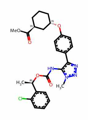 COC(=O)[C@H]1CCC[C@H](Oc2ccc(-c3nnn(C)c3NC(=O)O[C@H](C)c3ccccc3Cl)cc2)C1